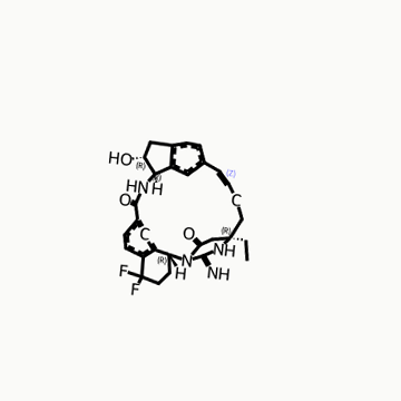 CC[C@]12CC/C=C\c3ccc4c(c3)[C@@H](NC(=O)c3ccc5c(c3)[C@@H](CCC5(F)F)N(C(=N)N1)C(=O)C2)[C@H](O)C4